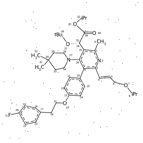 Cc1nc(C=CCOC(C)C)c(-c2ccc(OCCc3ccc(F)cc3)cc2)c(N2CCC(C)(C)CC2)c1[C@H](OC(C)(C)C)C(=O)OC(C)C